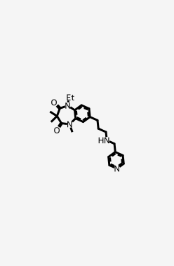 CCN1C(=O)C(C)(C)C(=O)N(C)c2cc(CCCNCc3ccncc3)ccc21